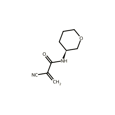 C=C(C#N)C(=O)N[C@H]1CCCOC1